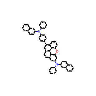 c1ccc(N(c2ccc(-c3cc4ccc5cc(N(c6ccccc6)c6ccc7ccccc7c6)cc6c5c4c4c(cccc34)O6)cc2)c2ccc3ccccc3c2)cc1